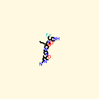 CCCCC1CN(C(CC(F)F)C2CCNCC2)C(=O)OC12CCN(C1(C)CCN(C(=O)c3c(C)cc(C#N)nc3C)CC1)CC2